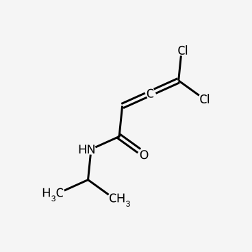 CC(C)NC(=O)C=C=C(Cl)Cl